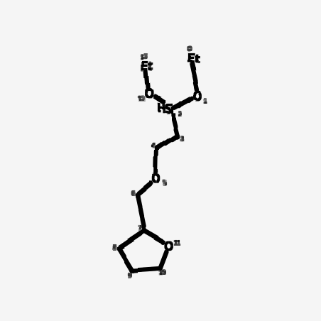 CCO[SiH](CCOCC1CCCO1)OCC